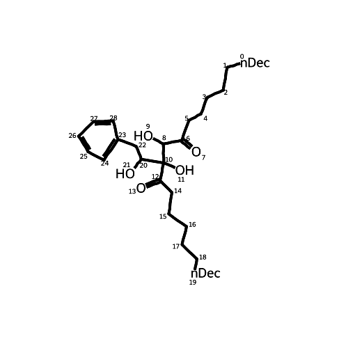 CCCCCCCCCCCCCCCC(=O)C(O)C(O)(C(=O)CCCCCCCCCCCCCCC)C(O)Cc1ccccc1